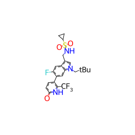 CC(C)(C)Cn1cc(CNS(=O)(=O)C2CC2)c2cc(F)c(-c3ccc(=O)[nH]c3C(F)(F)F)cc21